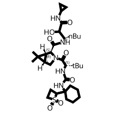 CCCC[C@H](NC(=O)[C@@H]1[C@@H]2[C@H](CN1C(=O)[C@@H](NC(=O)NC1(C3CCS3(=O)=O)CCCCC1)C(C)(C)C)C2(C)C)C(O)C(=O)NC1CC1